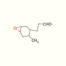 CC1CC2OC2CC1CC[C]=O